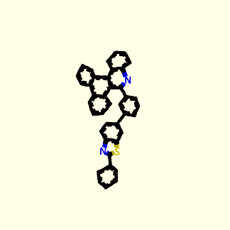 c1ccc(-c2nc3ccc(-c4cccc(-c5nc6ccccc6c6c7ccccc7c7ccccc7c56)c4)cc3s2)cc1